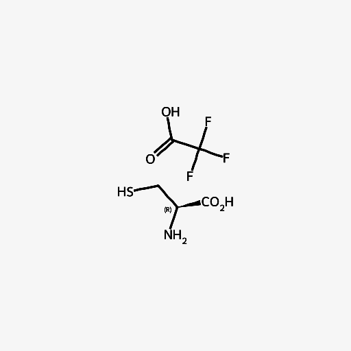 N[C@@H](CS)C(=O)O.O=C(O)C(F)(F)F